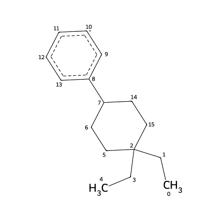 CCC1(CC)CCC(c2c[c]ccc2)CC1